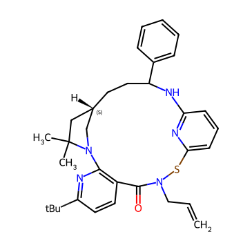 C=CCN1Sc2cccc(n2)NC(c2ccccc2)CC[C@@H]2CN(c3nc(C(C)(C)C)ccc3C1=O)C(C)(C)C2